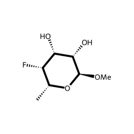 CO[C@H]1O[C@H](C)[C@H](F)[C@H](O)[C@@H]1O